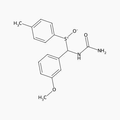 COc1cccc(C(NC(N)=O)[S+]([O-])c2ccc(C)cc2)c1